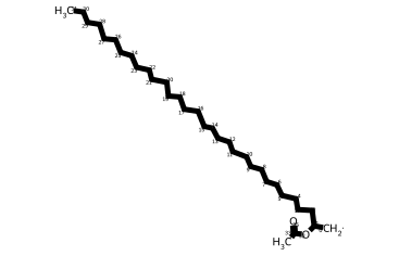 [CH2]C(CCCCCCCCCCCCCCCCCCCCCCCCCCCCCC)OC(C)=O